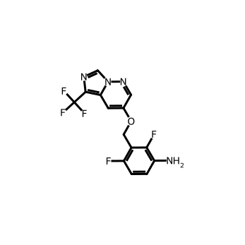 Nc1ccc(F)c(COc2cnn3cnc(C(F)(F)F)c3c2)c1F